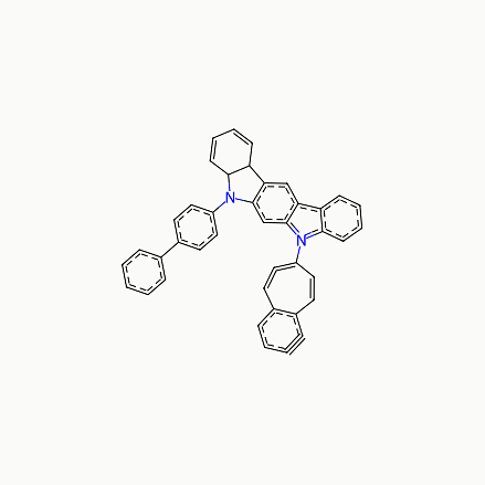 C1=Cc2ccc#cc2C=CC=1n1c2ccccc2c2cc3c(cc21)N(c1ccc(-c2ccccc2)cc1)C1C=CC=CC31